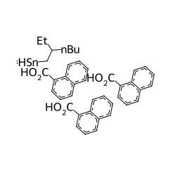 CCCCC(CC)[CH2][SnH].O=C(O)c1cccc2ccccc12.O=C(O)c1cccc2ccccc12.O=C(O)c1cccc2ccccc12